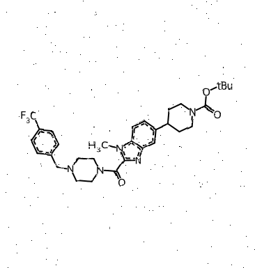 Cn1c(C(=O)N2CCN(Cc3ccc(C(F)(F)F)cc3)CC2)nc2cc(C3CCN(C(=O)OC(C)(C)C)CC3)ccc21